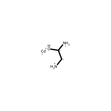 NCC(N)O.[Cd]